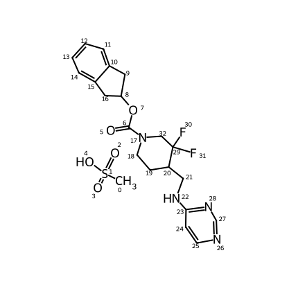 CS(=O)(=O)O.O=C(OC1Cc2ccccc2C1)N1CCC(CNc2ccncn2)C(F)(F)C1